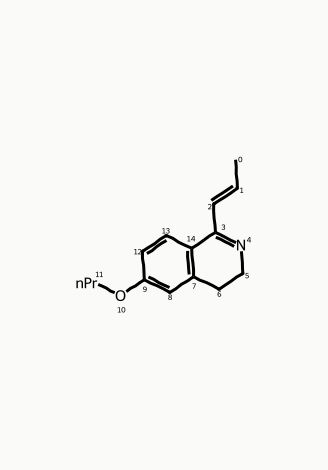 CC=CC1=NCCc2cc(OCCC)ccc21